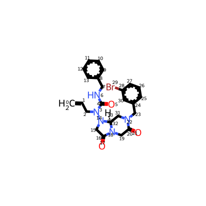 C=CCN(C(=O)NCc1ccccc1)N1CC(=O)N2CC(=O)N(Cc3cccc(Br)c3)C[C@@H]21